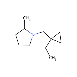 CCC1(CN2CCCC2C)CC1